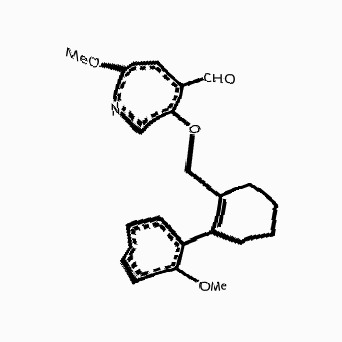 COc1cc(C=O)c(OCC2=C(c3ccccc3OC)CCCC2)cn1